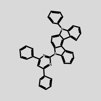 c1ccc(-c2cc(-c3ccccc3)nc(-n3c4ccccc4c4c5c6ccccc6n(-c6ccccc6)c5ccc43)n2)cc1